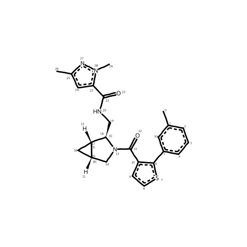 Cc1cccc(-c2sccc2C(=O)N2C[C@@H]3C[C@@H]3[C@H]2CNC(=O)c2cc(C)nn2C)c1